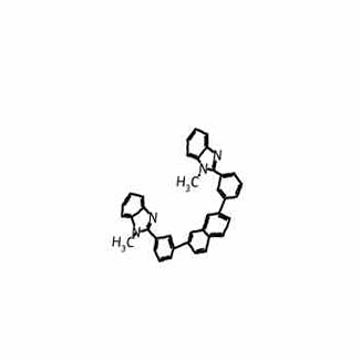 Cn1c(-c2cccc(-c3ccc4ccc(-c5cccc(-c6nc7ccccc7n6C)c5)cc4c3)c2)nc2ccccc21